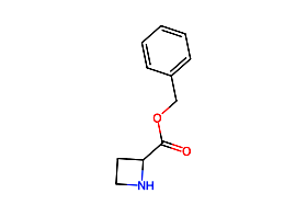 O=C(OCc1ccccc1)C1CCN1